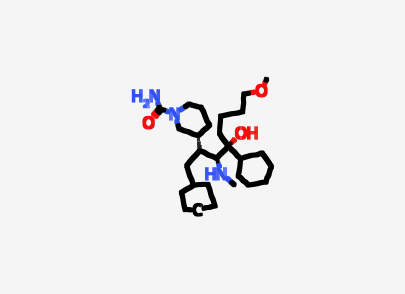 CN[C@@H](C(CC1CCCCC1)[C@H]1CCCN(C(N)=O)C1)[C@](O)(CCCCOC)C1CCCCC1